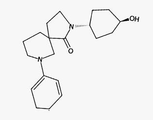 O=C1N([C@H]2CC[C@H](O)CC2)CCC12CCCN(C1=CC[CH]C=C1)C2